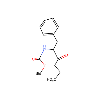 CC(C)(C)OC(=O)NC(Cc1ccccc1)C(=O)CCC(=O)O